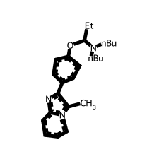 CCCCN(CCCC)C(CC)Oc1ccc(-c2nc3ccccn3c2C)cc1